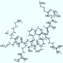 CCCCCCCCCCCCCC(=O)N[C@@H](C(=O)N[C@H](C(=O)C[C@@H](Cc1ccccc1)C(=O)N[C@@H](CCCNC(=N)N)C(=O)C[C@@H](CO)C(=O)N[C@@H](CO)C(=O)C[C@@H](CCCNC(=N)N)C(=O)N[C@@H](CCC(=O)O)C(=O)C[C@@H](CCCCN)C(C)=O)C(C)C)[C@@H](C)O